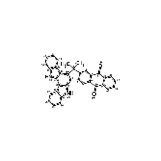 CC1(C)c2cc3c(cc2-c2c1c1c4ccccc4[nH]c1c1c2[nH]c2ccccc21)C(=O)c1ccccc1C3=O